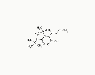 CC(C)(C)OC(=O)N(C(CCCN)C(=O)O)C(C)(C)C